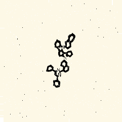 c1ccc(-c2cc(-c3ccccc3)nc(-c3cccc4cc(-n5c6ccccc6c6c5ccc5c7ccccc7n(-c7ccc8ccccc8c7)c56)ccc34)n2)cc1